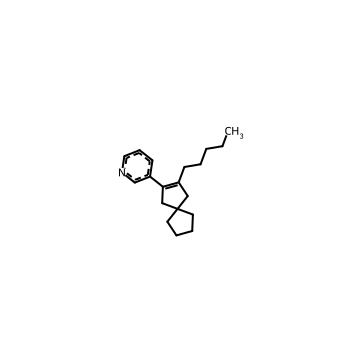 CCCCCC1=C(c2cccnc2)CC2(CCCC2)C1